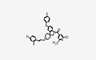 Cc1cc(C(=O)N2CC3(CCN(C/C=C/c4ccc(F)cc4F)CC3)c3cc(Sc4ccc(F)cc4)ccc32)cc(Cl)n1